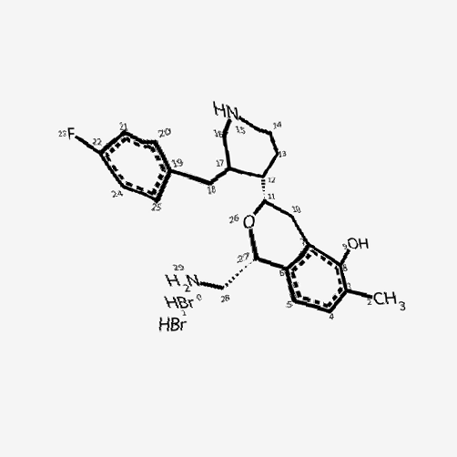 Br.Br.Cc1ccc2c(c1O)C[C@@H](C1CCNCC1Cc1ccc(F)cc1)O[C@H]2CN